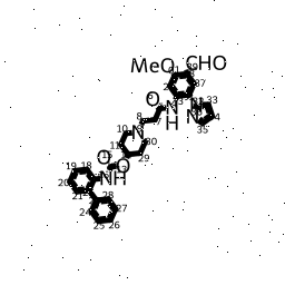 COc1cc(NC(=O)CCN2CCC(OC(=O)Nc3ccccc3-c3ccccc3)CC2)c(-n2cccn2)cc1C=O